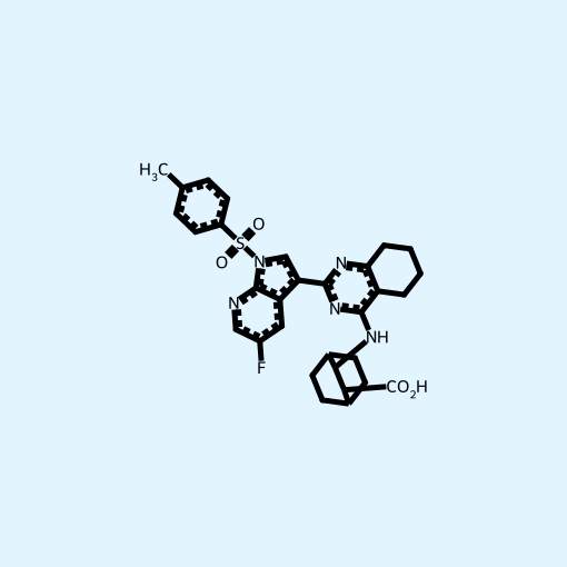 Cc1ccc(S(=O)(=O)n2cc(-c3nc4c(c(NC5C6CCC(CC6)C5C(=O)O)n3)CCCC4)c3cc(F)cnc32)cc1